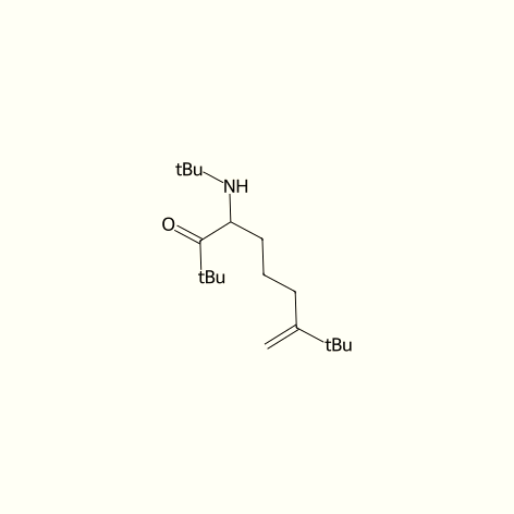 C=C(CCCC(NC(C)(C)C)C(=O)C(C)(C)C)C(C)(C)C